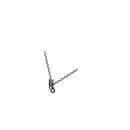 CCCCCCCCCCCCCCCCC1N(CCCCCCCCCCCCCCCC)C=CN1c1ccccc1